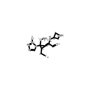 NOC1(n2cnn[n+]2[O-])C(=C(C=O)NC2CNC2)C1CF